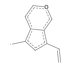 [CH2]c1cc(C=C)c2coccc1-2